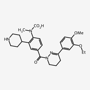 CCOc1cc(C2=NN(C(=O)c3ccc(N(C)C(=O)O)c(C4CCNCC4)c3)CCC2)ccc1OC